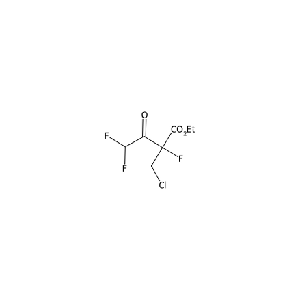 CCOC(=O)C(F)(CCl)C(=O)C(F)F